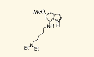 CCN(CC)CCCCCNc1cc(OC)cc2cc[nH]c12